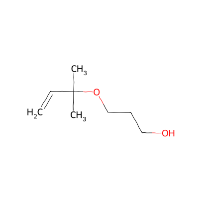 C=CC(C)(C)OCCCO